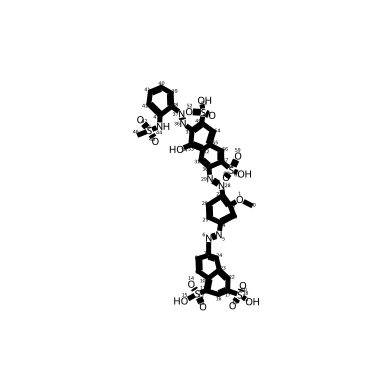 COc1cc(N=Nc2ccc3c(S(=O)(=O)O)cc(S(=O)(=O)O)cc3c2)ccc1N=Nc1cc2c(O)c(N=Nc3ccccc3NS(C)(=O)=O)c(S(=O)(=O)O)cc2cc1S(=O)(=O)O